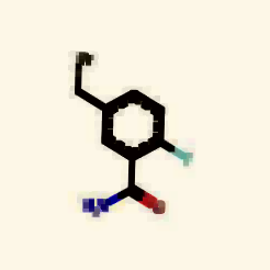 CC(C)Cc1ccc(F)c(C(N)=O)c1